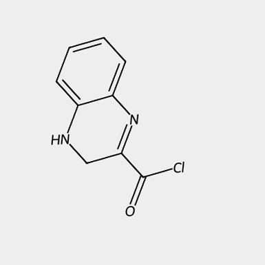 O=C(Cl)C1=Nc2ccccc2NC1